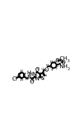 CS(=O)(=O)C(N)C1CCC(COCc2csc3nc(C(=O)NCc4cccc(Cl)c4)[nH]c(=O)c23)CC1